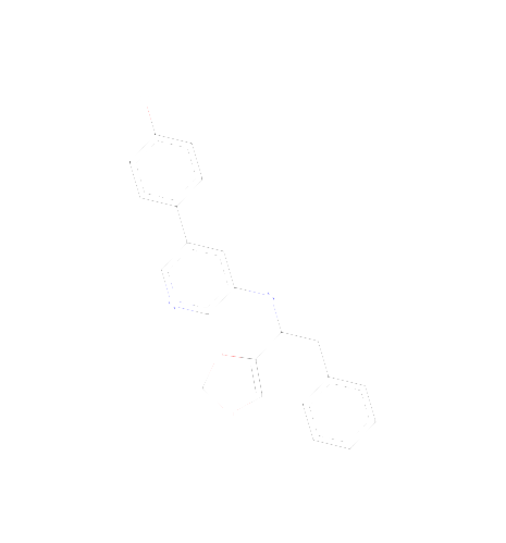 Oc1ccc(-c2cncc(NC(Cc3ccccc3)C3=COCO3)c2)cc1